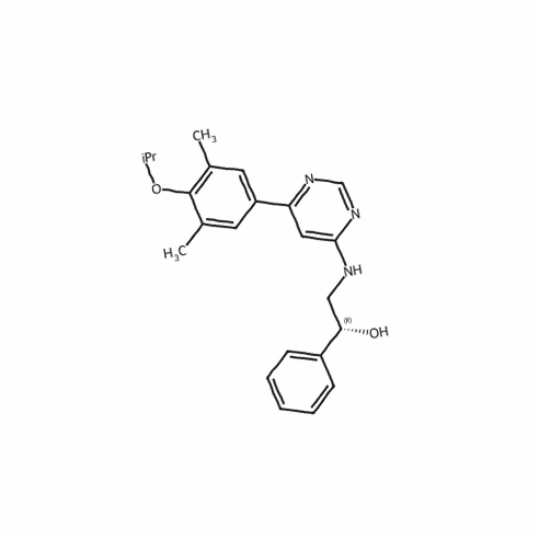 Cc1cc(-c2cc(NC[C@H](O)c3ccccc3)ncn2)cc(C)c1OC(C)C